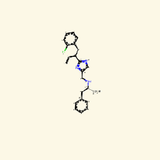 C=CC(Cc1ccccc1Cl)c1ncc(CN[C@@H](Cc2ccccc2)C(=O)O)[nH]1